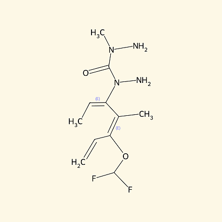 C=C/C(OC(F)F)=C(C)\C(=C/C)N(N)C(=O)N(C)N